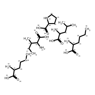 CC(C)CC(N)C(=O)O.CCC(C)C(N)C(=O)O.CCCCC(N)C(=O)O.CSCCC(N)C(=O)O.O=C(O)C1CCCN1